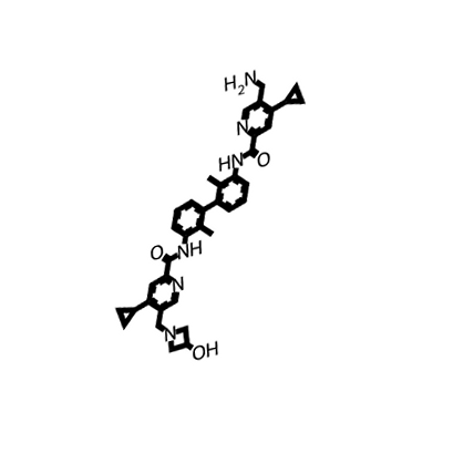 Cc1c(NC(=O)c2cc(C3CC3)c(CN)cn2)cccc1-c1cccc(NC(=O)c2cc(C3CC3)c(CN3CC(O)C3)cn2)c1C